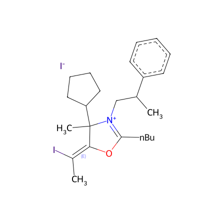 CCCCC1=[N+](CC(C)c2ccccc2)C(C)(C2CCCC2)/C(=C(/C)I)O1.[I-]